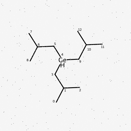 CC(C)[CH2][GeH]([CH2]C(C)C)[CH2]C(C)C